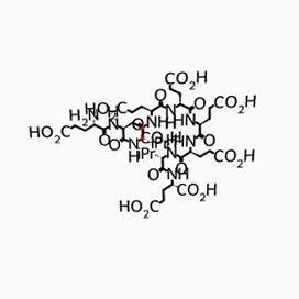 CC(C)[C@H](NC(=O)[C@H](CCC(=O)O)NC(=O)[C@H](CCC(=O)O)NC(=O)[C@H](CCC(=O)O)NC(=O)[C@H](CCC(=O)O)NC(=O)[C@@H](NC(=O)[C@H](CCC(=O)O)NC(=O)[C@@H](N)CCC(=O)O)C(C)C)C(=O)N[C@@H](CCC(=O)O)C(=O)O